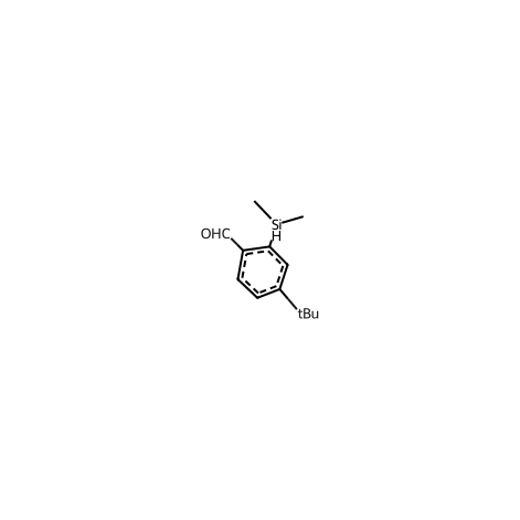 C[SiH](C)c1cc(C(C)(C)C)ccc1C=O